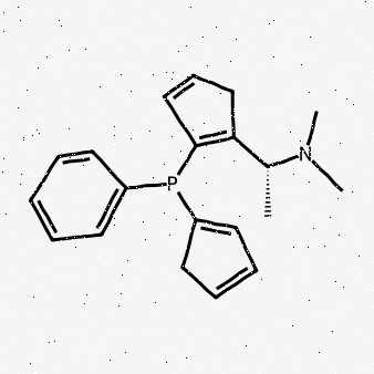 C[C@H](C1=C(P(C2=CC=CC2)c2ccccc2)C=CC1)N(C)C